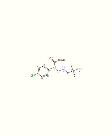 COC(=O)C(CNCC(C)(C)O)c1ccc(Cl)cc1